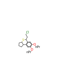 CCCOc1cc2c(cc1OCCC)C1CCCC1SC2CCCl